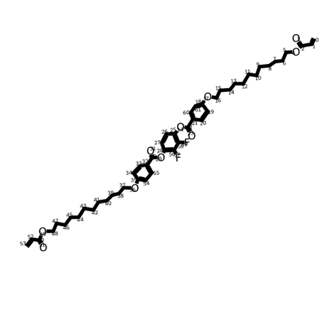 C=CC(=O)OCCCCCCCCCCCCOc1ccc(C(=O)Oc2ccc(OC(=O)c3ccc(OCCCCCCCCCCCCOC(=O)C=C)cc3)c(F)c2F)cc1